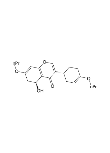 CCCOC1=CC[C@H](c2coc3c(c2=O)[C@@H](O)CC(OCCC)=C3)CC1